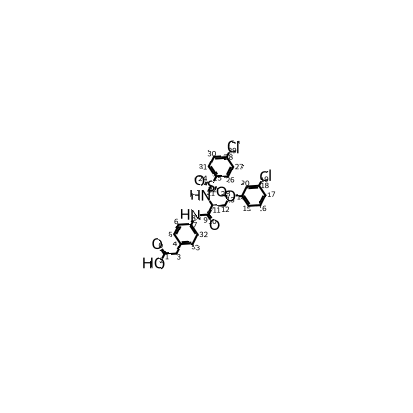 O=C(O)Cc1ccc(NC(=O)[C@H](COc2cccc(Cl)c2)NS(=O)(=O)c2ccc(Cl)cc2)cc1